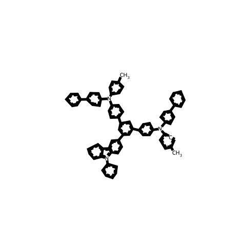 Cc1ccc(N(c2ccc(-c3ccccc3)cc2)c2ccc(-c3cc(-c4ccc(N(c5ccc(C)cc5)c5ccc(-c6ccccc6)cc5)cc4)cc(-c4ccc5c(c4)c4ccccc4n5-c4ccccc4)c3)cc2)cc1